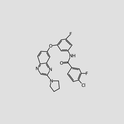 O=C(Nc1cc(F)cc(Oc2ccc3ncc(N4CCCC4)nc3c2)c1)c1ccc(Cl)c(F)c1